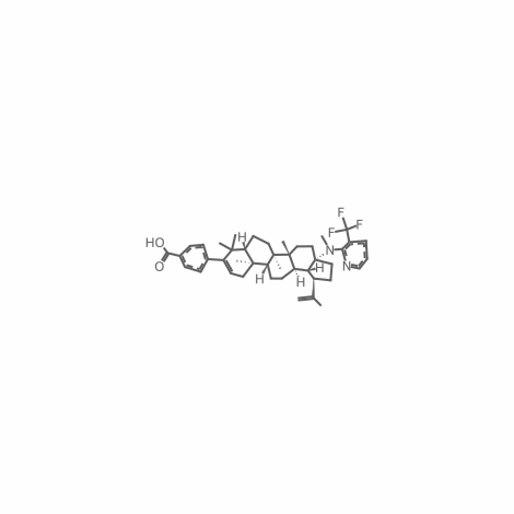 C=C(C)[C@@H]1CC[C@]2(N(C)c3ncccc3C(F)(F)F)CC[C@]3(C)[C@H](CC[C@@H]4[C@@]5(C)CC=C(c6ccc(C(=O)O)cc6)C(C)(C)[C@@H]5CC[C@]43C)[C@@H]12